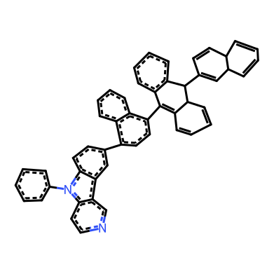 C1=CC2=C(c3ccc(-c4ccc5c(c4)c4cnccc4n5-c4ccccc4)c4ccccc34)c3ccccc3C(C3=CC4C=CC=CC4C=C3)C2C=C1